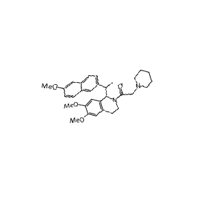 COc1ccc2cc(C(C)C3c4cc(OC)c(OC)cc4CCN3C(=O)CN3CCCCC3)ccc2c1